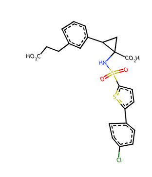 O=C(O)CCc1cccc(C2CC2(NS(=O)(=O)c2ccc(-c3ccc(Cl)cc3)s2)C(=O)O)c1